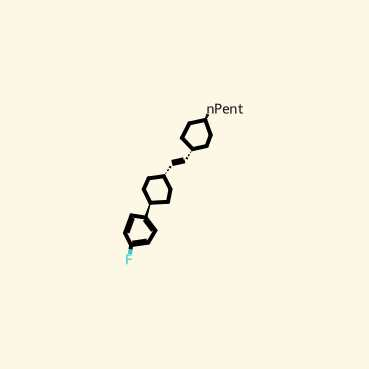 CCCCC[C@H]1CC[C@H](/C=C/[C@H]2CC[C@H](c3ccc(F)cc3)CC2)CC1